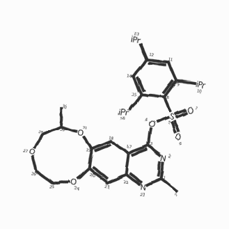 Cc1nc(OS(=O)(=O)c2c(C(C)C)cc(C(C)C)cc2C(C)C)c2cc3c(cc2n1)OCCOCC(C)O3